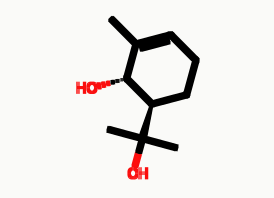 CC1=CCC[C@@H](C(C)(C)O)[C@@H]1O